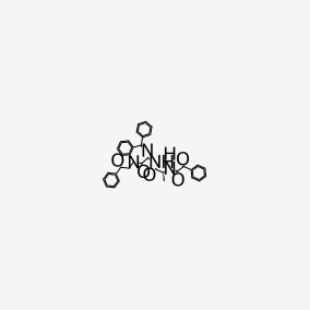 C[C@H](NC(=O)C(=O)c1ccccc1)C(=O)NC1N=C(c2ccccc2)c2ccccc2N(CC(=O)c2ccccc2)C1=O